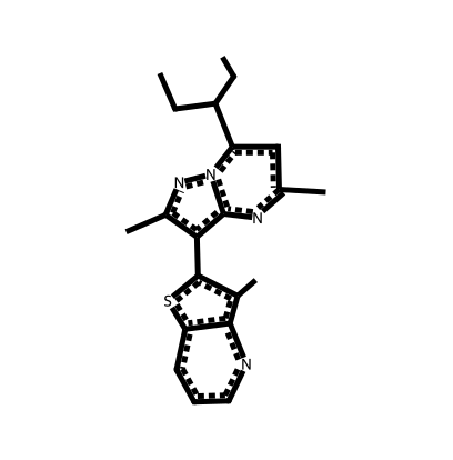 CCC(CC)c1cc(C)nc2c(-c3sc4cccnc4c3C)c(C)nn12